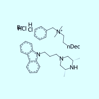 CCCCCCCCCCCC[N+](C)(C)Cc1ccccc1.C[C@@H]1CN(CCCn2c3ccccc3c3ccccc32)C[C@H](C)N1.Cl.Cl.[Br-]